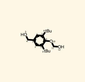 CC(C)(C)c1cc(CO)cc(C(C)(C)C)c1OCO